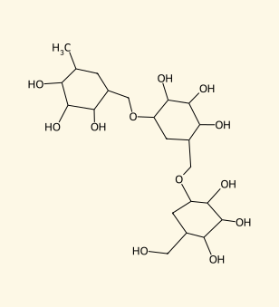 CC1CC(COC2CC(COC3CC(CO)C(O)C(O)C3O)C(O)C(O)C2O)C(O)C(O)C1O